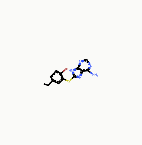 CCc1ccc(Br)c(Sc2nc3c(N)ncnc3[nH]2)c1